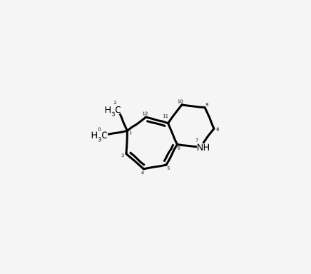 CC1(C)C=CC=C2NCCCC2=C1